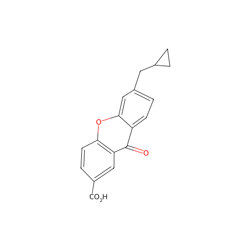 O=C(O)c1ccc2oc3cc(CC4CC4)ccc3c(=O)c2c1